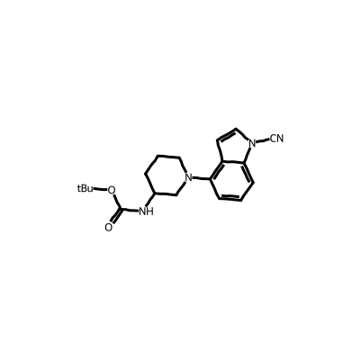 CC(C)(C)OC(=O)NC1CCCN(c2cccc3c2ccn3C#N)C1